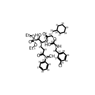 CCOP(=O)(OCC)C(O)[C@H](CCC(=O)N(C)c1ccccc1)NC(=O)[C@H](CC1CCCCC1)OC(=O)NCc1cccc(Cl)c1